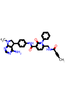 CC#CC(=O)NCc1ccc(C(=O)Nc2ccc(C3CN(C)c4ncnc(N)c43)cc2)c(=O)n1-c1ccccc1